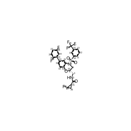 O=C(NC[C@H]1CN(S(=O)(=O)c2cccc(C(F)(F)F)c2)c2cc(-c3cc(F)ccc3F)ccc2O1)C1C[C@H]1F